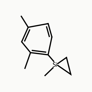 Cc1ccc([Si]2(C)CC2)c(C)c1